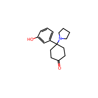 O=C1CCC(c2cccc(O)c2)(N2CCCC2)CC1